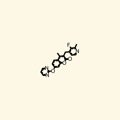 Cc1nccc(Cc2c(C)c3ccc(Oc4ncccn4)cc3oc2=O)c1F